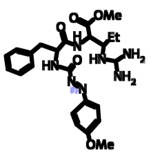 CCC(NC(N)N)C(NC(=O)C(Cc1ccccc1)NC(=O)/N=N/c1ccc(OC)cc1)C(=O)OC